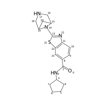 O=C(NC1CCCC1)c1ccc2nc(N3C4CNCC3C4)sc2c1